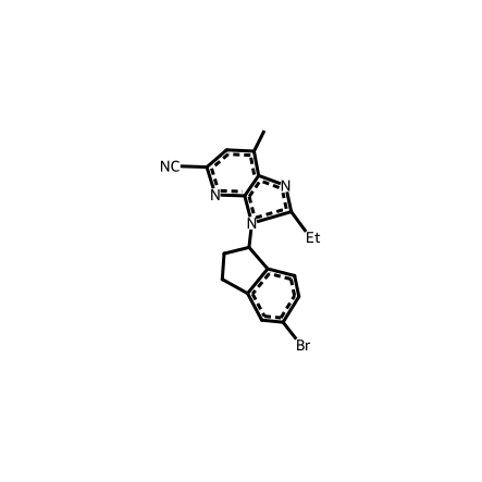 CCc1nc2c(C)cc(C#N)nc2n1C1CCc2cc(Br)ccc21